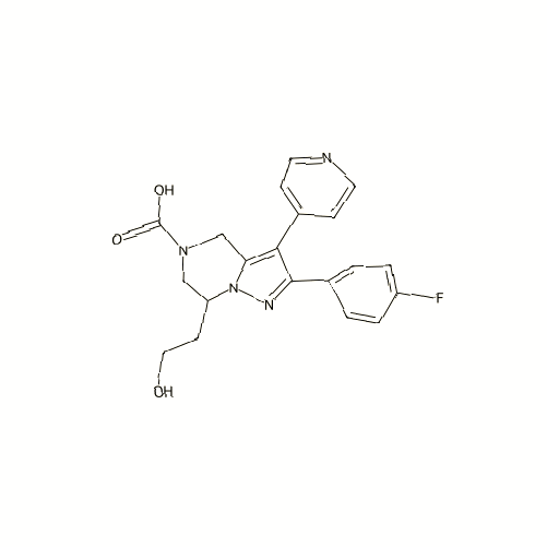 O=C(O)N1Cc2c(-c3ccncc3)c(-c3ccc(F)cc3)nn2C(CCO)C1